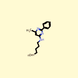 CCCCCCCCCCCCCCNc1cc(C)nc(-c2ccccc2)n1